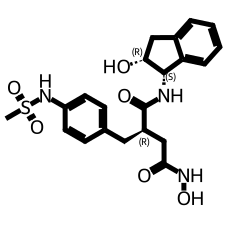 CS(=O)(=O)Nc1ccc(C[C@H](CC(=O)NO)C(=O)N[C@H]2c3ccccc3C[C@H]2O)cc1